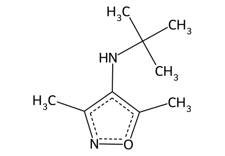 Cc1noc(C)c1NC(C)(C)C